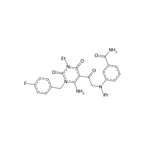 CCn1c(=O)c(C(=O)CN(c2cccc(C(N)=O)c2)C(C)C)c(N)n(Cc2ccc(F)cc2)c1=O